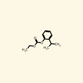 C[CH]OC(=O)Oc1ccccc1C(C)C